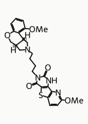 COc1ccc2sc3c(=O)n(CCCCN4C[C@@H]5COc6cccc(OC)c6[C@@H]5C4)c(=O)[nH]c3c2n1